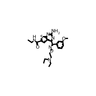 CCNC(=O)c1cc2c(C(=NOCCN(CC)CC)c3cccc(OC)c3)nc(N)nc2s1